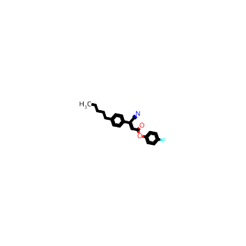 CCCCCc1ccc(C(C#N)=CC(=O)Oc2ccc(F)cc2)cc1